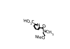 COCCN(C)C(=O)c1cccc(C(=O)O)n1